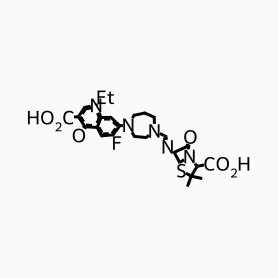 CCn1cc(C(=O)O)c(=O)c2cc(F)c(N3CCCN(C=NC4C(=O)N5C4SC(C)(C)C5C(=O)O)CC3)cc21